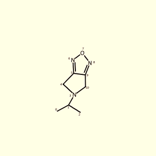 CC(C)N1Cc2nonc2C1